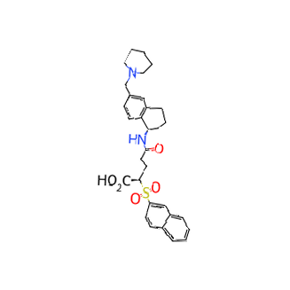 O=C(CC[C@H](C(=O)O)S(=O)(=O)c1ccc2ccccc2c1)N[C@@H]1CCCc2cc(CN3CCCCC3)ccc21